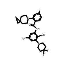 Cc1cc(NC(=O)c2ccc(I)cc2N2CCC3(CC2)CC3)c(C#N)c(N2CCC(F)(F)CC2)c1